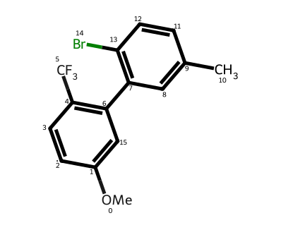 COc1[c]cc(C(F)(F)F)c(-c2cc(C)ccc2Br)c1